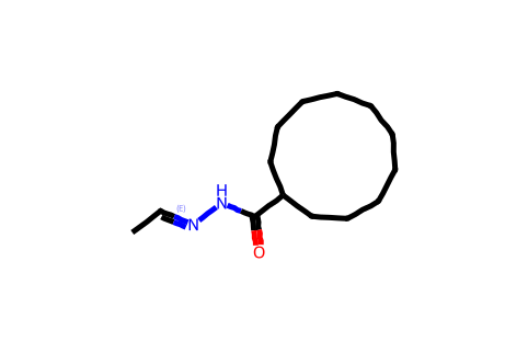 C/C=N/NC(=O)C1CCCCCCCCCC1